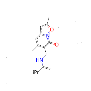 C=C(NCc1c(C)cc2cc(C)on2c1=O)C(C)C